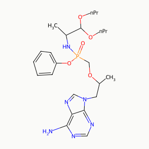 CCCOC(OCCC)C(C)NP(=O)(COC(C)Cn1cnc2c(N)ncnc21)Oc1ccccc1